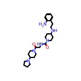 Nc1ccccc1CCNC1CCN(C(=O)NCC(=O)N2CCC(N3CCCC3)CC2)CC1